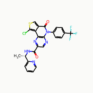 C[C@H](NC(=O)c1cnc2c(n1)c1c(Cl)scc1c(=O)n2-c1ccc(C(F)(F)F)cc1)c1ccccn1